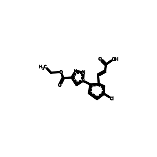 CCOC(=O)c1cn(-c2ccc(Cl)cc2C=CC(=O)O)nn1